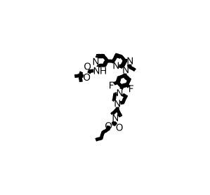 CCCCOC(=O)N1CC(N2CCN(c3c(F)cc(-n4c(C)nc5ccc(-c6ccnc(NC(=O)OC(C)(C)C)c6)nc54)cc3F)CC2)C1